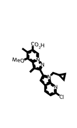 COc1c(C)c(C(=O)O)cn2nc(-c3cc4ccc(Cl)nc4n3CC3CC3)c(C)c12